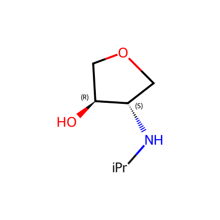 CC(C)N[C@H]1COC[C@@H]1O